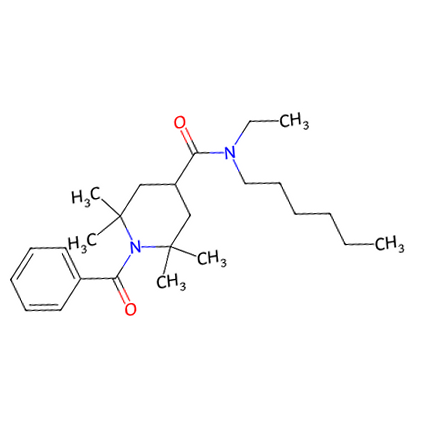 CCCCCCN(CC)C(=O)C1CC(C)(C)N(C(=O)c2ccccc2)C(C)(C)C1